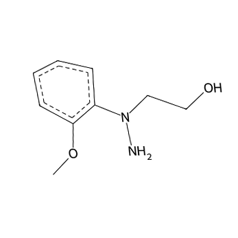 COc1ccccc1N(N)CCO